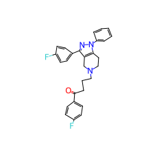 O=C(CCCN1CCc2c(c(-c3ccc(F)cc3)nn2-c2ccccc2)C1)c1ccc(F)cc1